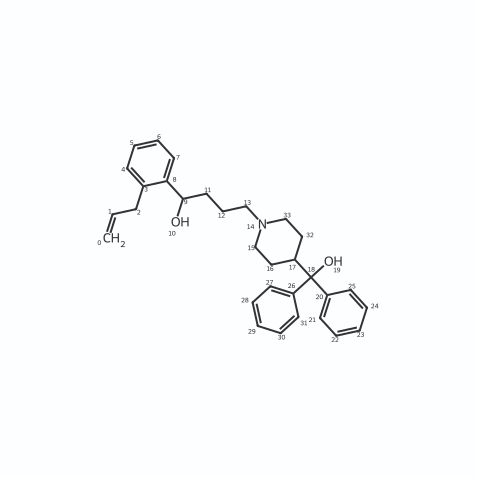 C=CCc1ccccc1C(O)CCCN1CCC(C(O)(c2ccccc2)c2ccccc2)CC1